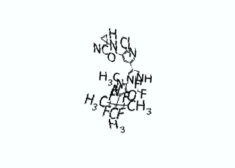 Cn1nc(C(C)(C(C)(F)F)C(C)(F)F)c(OC(F)F)c1N/C=C(\C=N)c1cnc(Cl)c(C(=O)NC2(C#N)CC2)c1